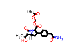 C[C@@H](O)[C@H]1C(=O)N2C(C(=O)OCOC(=O)C(C)(C)C)=C(c3ccc(CC(N)=O)cc3)C[C@H]12